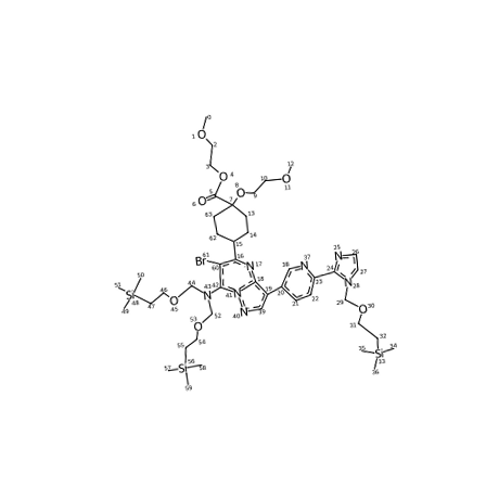 COCCOC(=O)C1(OCCOC)CCC(c2nc3c(-c4ccc(-c5nccn5COCC[Si](C)(C)C)nc4)cnn3c(N(COCC[Si](C)(C)C)COCC[Si](C)(C)C)c2Br)CC1